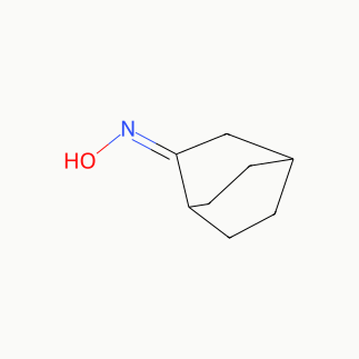 ON=C1CC2CCC1CC2